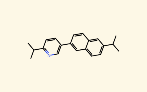 CC(C)c1ccc2cc(-c3ccc(C(C)C)nc3)ccc2c1